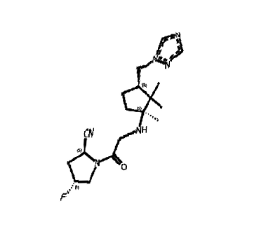 CC1(C)[C@H](Cn2cncn2)CC[C@]1(C)NCC(=O)N1C[C@H](F)C[C@H]1C#N